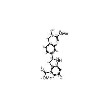 COC(=O)c1cc(F)cc2c1CC(c1ccc(CN(C)C(=O)OC)cc1)N2